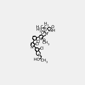 COc1nc(-c2cccc(-c3ccnc(-c4cc(Cl)c5c(c4)CCN(C[C@H](C)O)C5)c3Cl)c2Cl)ccc1CN(C[C@@H]1CCC(=O)N1)C(=O)OC(C)(C)C